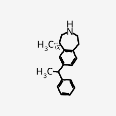 CC(c1ccccc1)c1ccc2c(c1)[C@H](C)CNCC2